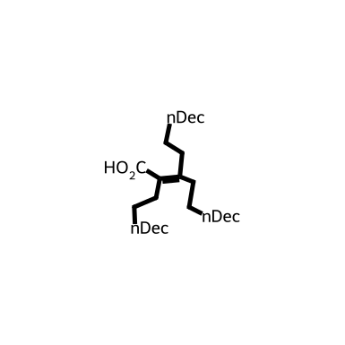 CCCCCCCCCCCCC(CCCCCCCCCCCC)=C(CCCCCCCCCCCC)C(=O)O